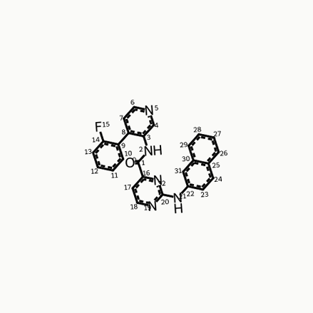 O=C(Nc1cnccc1-c1ccccc1F)c1ccnc(Nc2ccc3ccccc3c2)n1